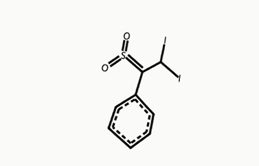 O=S(=O)=C(c1ccccc1)C(I)I